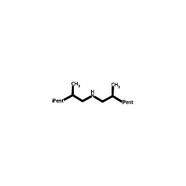 CCCC(C)C(C)CNCC(C)C(C)CCC